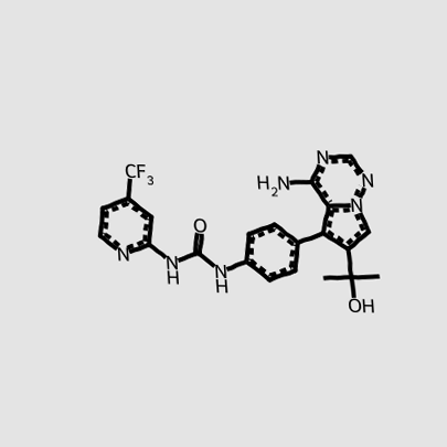 CC(C)(O)c1cn2ncnc(N)c2c1-c1ccc(NC(=O)Nc2cc(C(F)(F)F)ccn2)cc1